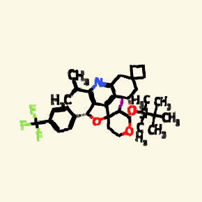 CC(C)c1nc2c(c3c1[C@@H](c1ccc(C(F)(F)F)cc1)OC31CCOCC1I)[C@@H](O[Si](C)(C)C(C)(C)C)CC1(CCC1)C2